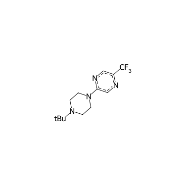 CC(C)(C)N1CCN(c2cnc(C(F)(F)F)cn2)CC1